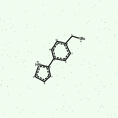 CC(C)(C)Cc1ccc(-c2ccc[nH]2)cc1